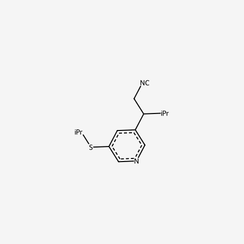 [C-]#[N+]CC(c1cncc(SC(C)C)c1)C(C)C